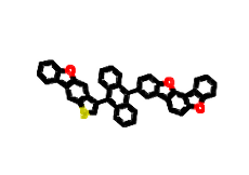 c1ccc2c(c1)oc1cc3c(-c4c5ccccc5c(-c5ccc6oc7c(ccc8oc9ccccc9c87)c6c5)c5ccccc45)csc3cc12